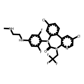 CNCCNc1cc(F)c(N2C(=O)N(CC(F)(F)F)c3ncc(Cl)cc3-c3ccc(Cl)cc32)c(F)c1